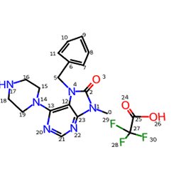 Cn1c(=O)n(Cc2ccccc2)c2c(N3CCNCC3)ncnc21.O=C(O)C(F)(F)F